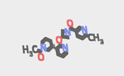 CC(=O)N1CCC[C@H](c2cccnc2OC2CN(C(=O)c3ccc(C)nc3)C2)C1